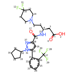 O=C(O)C[C@H](CCN1CCC(F)(F)CC1)NC(=O)c1cc(-c2ccccc2C(F)(F)F)n(C2CCCC2)n1